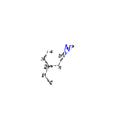 CC[C](CC)CC#N